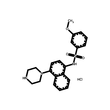 COc1cccc(S(=O)(=O)Nc2ccc(N3CCNCC3)c3ccccc23)c1.Cl